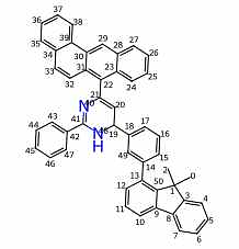 CC1(C)c2ccccc2-c2cccc(-c3cccc(C4C=C(c5c6ccccc6cc6c5ccc5ccccc56)N=C(c5ccccc5)N4)c3)c21